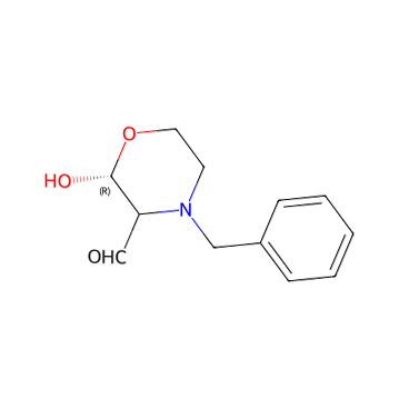 O=CC1[C@H](O)OCCN1Cc1ccccc1